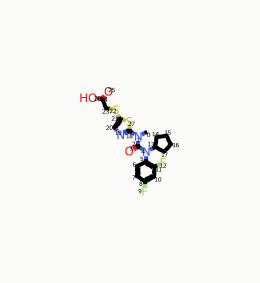 CN(C(=O)N(c1ccc(F)cc1F)C1CCCC1)c1ncc(SCC(=O)O)s1